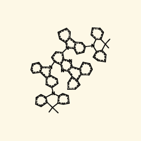 CC1(C)c2ccccc2N(c2ccc3c(c2)c2ccccc2n3-c2ccc(-n3c4ccccc4c4cc(N5c6ccccc6C(C)(C)c6ccccc65)ccc43)c3nc4c5ccccc5c5ccccc5c4nc23)c2ccccc21